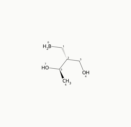 BC[C@H](CO)[C@@H](C)O